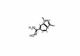 Cc1nn(C)c2cc(/C(N)=N/O)ccc12